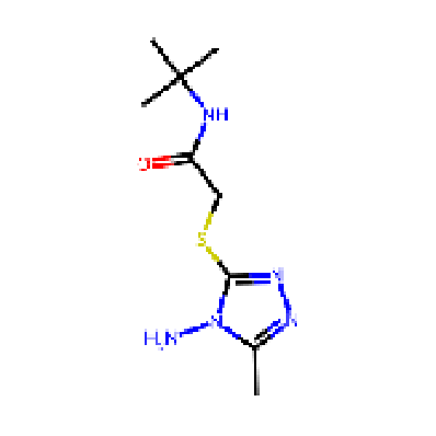 Cc1nnc(SCC(=O)NC(C)(C)C)n1N